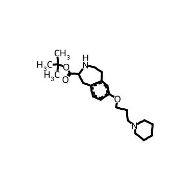 CC(C)(C)OC(=O)C1Cc2ccc(OCCCN3CCCCC3)cc2CCN1